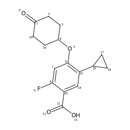 O=C1CCC(Oc2cc(F)c(C(=O)O)cc2C2CC2)CC1